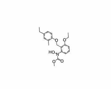 CCOc1cccc(N(O)C(=O)OC)c1COc1ccc(CC)cc1C